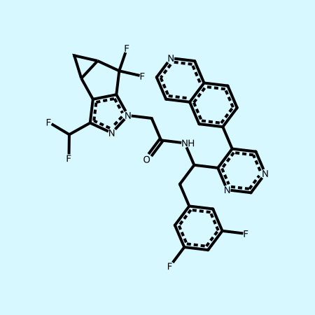 O=C(Cn1nc(C(F)F)c2c1C(F)(F)C1CC21)NC(Cc1cc(F)cc(F)c1)c1ncncc1-c1ccc2cnccc2c1